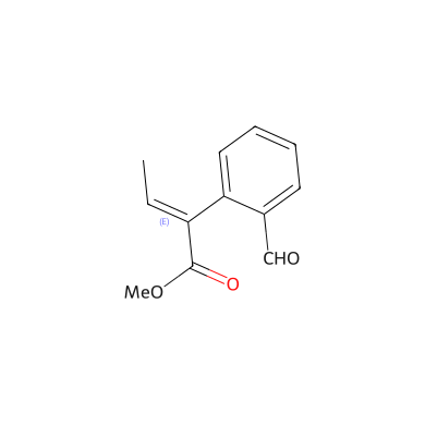 C/C=C(/C(=O)OC)c1ccccc1C=O